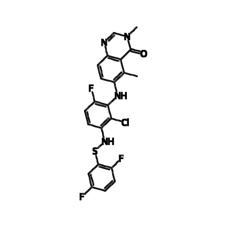 Cc1c(Nc2c(F)ccc(NSc3cc(F)ccc3F)c2Cl)ccc2ncn(C)c(=O)c12